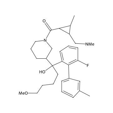 CNCC1C(C)C1C(=O)N1CCCC(C(O)(CCCCOC)c2cccc(F)c2-c2cccc(C)c2)C1